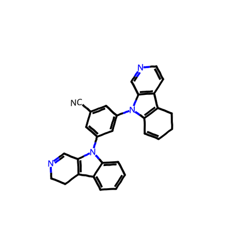 N#Cc1cc(-n2c3c(c4ccncc42)CCC=C3)cc(-n2c3c(c4ccccc42)CCN=C3)c1